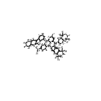 Cc1cc2c3c(c1)N(c1cccc4c1oc1cc5ccccc5cc14)c1cc(C(C)C)ccc1B3c1oc3cc4c(cc3c1N2c1ccc2c(c1)C(C)(C)CCC2(C)C)C(C)(C)CCC4(C)C